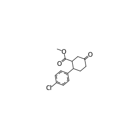 COC(=O)C1CC(=O)CCC1c1ccc(Cl)cc1